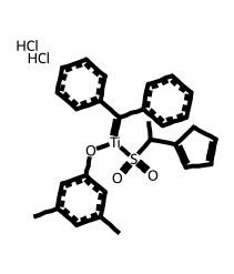 Cc1cc(C)cc([O][Ti](=[C](c2ccccc2)c2ccccc2)[S](=O)(=O)C(C)C2=CC=CC2)c1.Cl.Cl